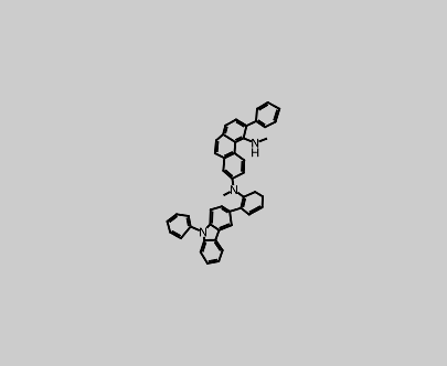 CNc1c(-c2ccccc2)ccc2ccc3cc(N(C)C4=C(c5ccc6c(c5)c5ccccc5n6-c5ccccc5)C=CCC4)ccc3c12